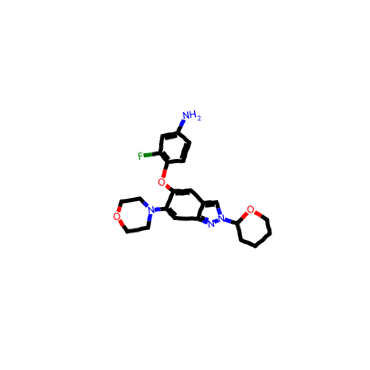 Nc1ccc(Oc2cc3cn(C4CCCCO4)nc3cc2N2CCOCC2)c(F)c1